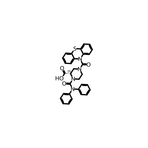 O=C(O)[C@@H]1CN(C(=O)N2c3ccccc3Sc3ccccc32)CCN1C(=O)N(c1ccccc1)c1ccccc1